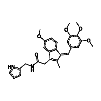 COc1ccc2c(c1)C(CC(=O)NCc1ccc[nH]1)=C(C)/C2=C/c1cc(OC)c(OC)c(OC)c1